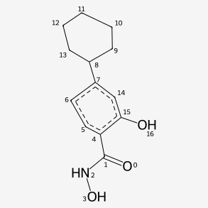 O=C(NO)c1ccc(C2CCCCC2)cc1O